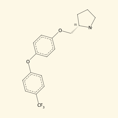 FC(F)(F)c1ccc(Oc2ccc(OC[C@@H]3CCC[N]3)cc2)cc1